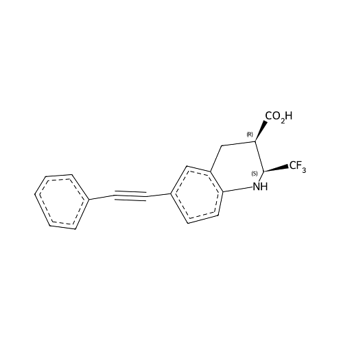 O=C(O)[C@@H]1Cc2cc(C#Cc3ccccc3)ccc2N[C@@H]1C(F)(F)F